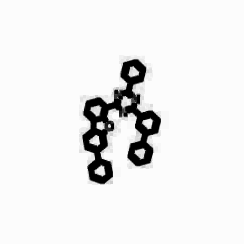 c1ccc(-c2cccc(-c3nc(-c4ccccc4)nc(-c4cccc5c4oc4cc(-c6ccccc6)ccc45)n3)c2)cc1